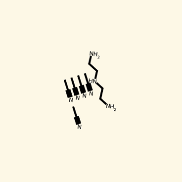 CC#N.CC#N.CC#N.CC#N.CC#N.NCCNCCN